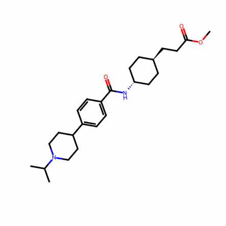 COC(=O)CC[C@H]1CC[C@H](NC(=O)c2ccc(C3CCN(C(C)C)CC3)cc2)CC1